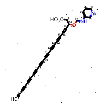 C#CC#CC#CC#CC#CC#CC#CC#CC#CC(CC(=O)O)OCNc1cccnc1